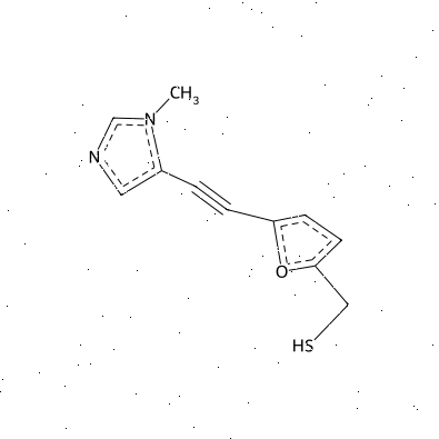 Cn1cncc1C#Cc1ccc(CS)o1